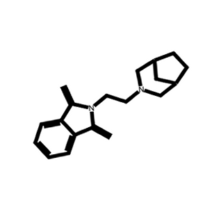 C=c1c2ccccc2c(=C)n1CCN1CC2CCC(C2)C1